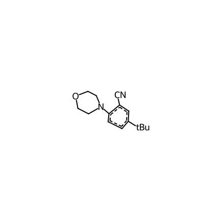 CC(C)(C)c1ccc(N2CCOCC2)c(C#N)c1